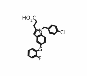 O=C(O)CCc1cc2cc(Sc3ccccc3F)ccc2n1Cc1ccc(Cl)cc1